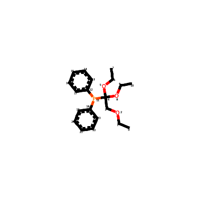 CCOCC(OCC)(OCC)P(c1ccccc1)c1ccccc1